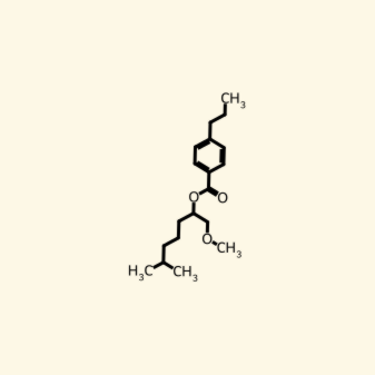 CCCc1ccc(C(=O)OC(CCCC(C)C)COC)cc1